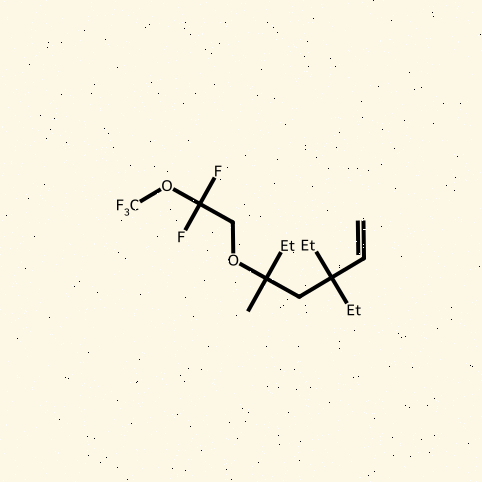 C=CC(CC)(CC)CC(C)(CC)OCC(F)(F)OC(F)(F)F